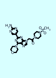 CS(=O)(=O)N1CCN(C(=O)Cn2cnc3c(N4CCOCC4)nc(-c4cnc(N)nc4)nc32)CC1